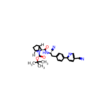 CC(C)(C)OC(=O)N1[C@@H]2CC[C@@H](C2)[C@H]1C(=O)N[C@H](C#N)Cc1ccc(-c2ccc(C#N)cn2)cc1